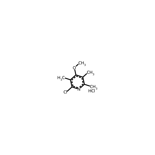 COc1c(C)c(C)nc(Cl)c1C.Cl